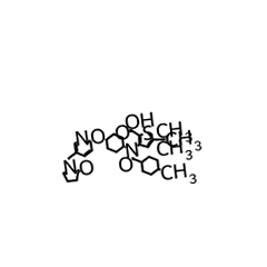 CC1CCC(C(=O)N(c2cc(C(C)(C)C)sc2C(=O)O)[C@H]2CC[C@H](Oc3ccc(CN4CCCC4=O)cn3)CC2)CC1